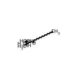 CCCCCCCCCCCCCCCC(=O)NCCCC(C)(NC)C(=O)O